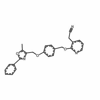 Cc1oc(-c2ccccc2)nc1COc1ccc(COc2ncccc2CC#N)cc1